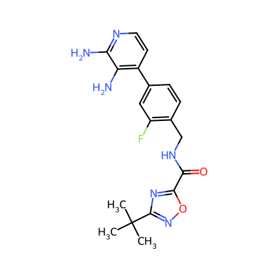 CC(C)(C)c1noc(C(=O)NCc2ccc(-c3ccnc(N)c3N)cc2F)n1